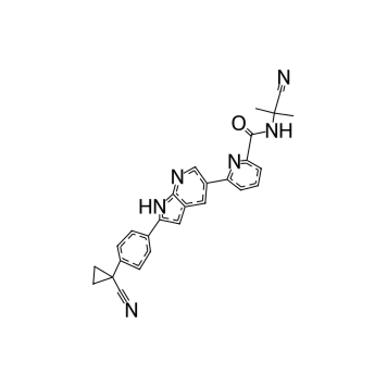 CC(C)(C#N)NC(=O)c1cccc(-c2cnc3[nH]c(-c4ccc(C5(C#N)CC5)cc4)cc3c2)n1